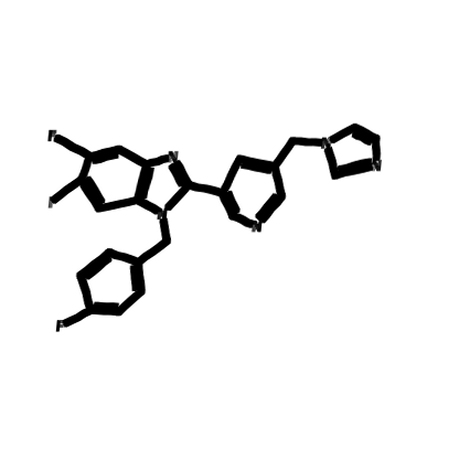 Fc1ccc(Cn2c(-c3cncc(Cn4ccnc4)c3)nc3cc(F)c(I)cc32)cc1